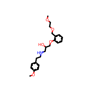 COCCOCc1ccccc1OCC(O)CNCCc1ccc(OC)cc1